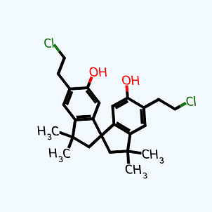 CC1(C)CC2(CC(C)(C)c3cc(CCCl)c(O)cc32)c2cc(O)c(CCCl)cc21